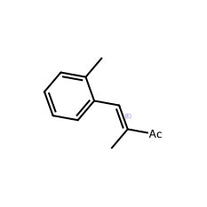 CC(=O)/C(C)=C/c1ccccc1C